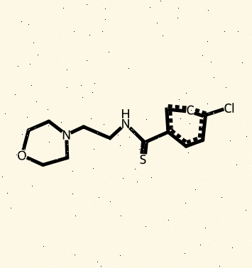 S=C(NCCN1CCOCC1)c1ccc(Cl)cc1